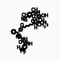 Cc1ncsc1-c1ccc([C@H](C)NC(=O)[C@@H]2C[C@@H](O)CN2C(=O)[C@@H](NC(=O)CCCCCC(=O)N2CC([C@@H](c3ccccc3)n3cc(NC(=O)c4n[nH]c5c4C[C@@H]4C(F)(F)[C@]4(C)C5)cn3)C2)C(C)(C)C)cc1